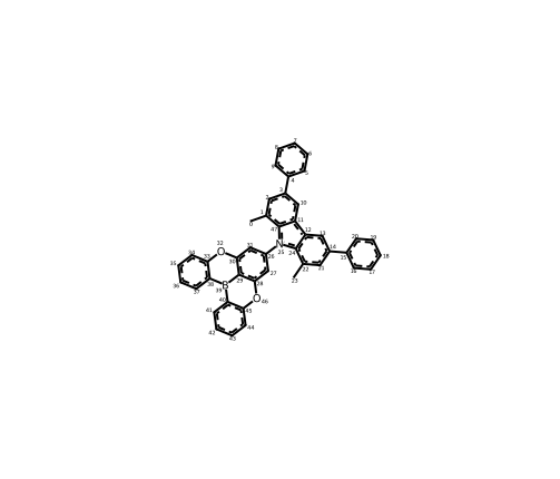 Cc1cc(-c2ccccc2)cc2c3cc(-c4ccccc4)cc(C)c3n(-c3cc4c5c(c3)Oc3ccccc3B5c3ccccc3O4)c12